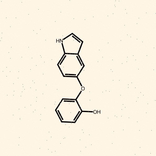 Oc1ccccc1Oc1ccc2[nH]ccc2c1